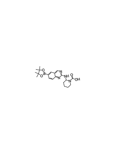 CC1(C)OB(c2ccc3nc(NC4CCCCN4C(=O)O)ncc3c2)OC1(C)C